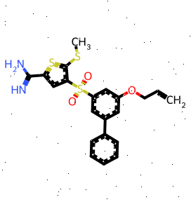 C=CCOc1cc(-c2ccccc2)cc(S(=O)(=O)c2cc(C(=N)N)sc2SC)c1